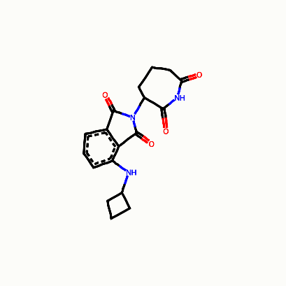 O=C1CCCC(N2C(=O)c3cccc(NC4CCC4)c3C2=O)C(=O)N1